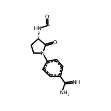 N=C(N)c1ccc(N2CC[C@H](N[C]=O)C2=O)cc1